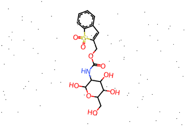 O=C(NC1C(O)OC(CO)C(O)C1O)OCC1=Cc2ccccc2S1(=O)=O